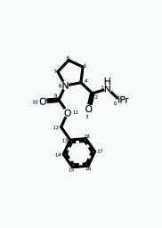 CC(C)NC(=O)C1CCCN1C(=O)OCc1ccccc1